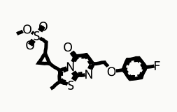 COS(=O)(=O)CC1CC1c1c(C)sc2nc(COc3ccc(F)cc3)cc(=O)n12